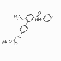 COC(=O)COc1ccc(-c2cc(C(=O)Nc3ccncc3)ccc2CN)cc1